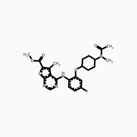 COC(=O)c1sc2ncnc(Nc3ccc(F)cc3OC3CCC(N(C)C(C)=O)CC3)c2c1C